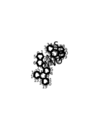 c1ccc2c(c1)ccc1c3c4c5ccccc5c5ccccc5c4ccc3n(-c3nc(-c4cccc5sc6ccccc6c45)c4c(n3)oc3ccccc34)c21